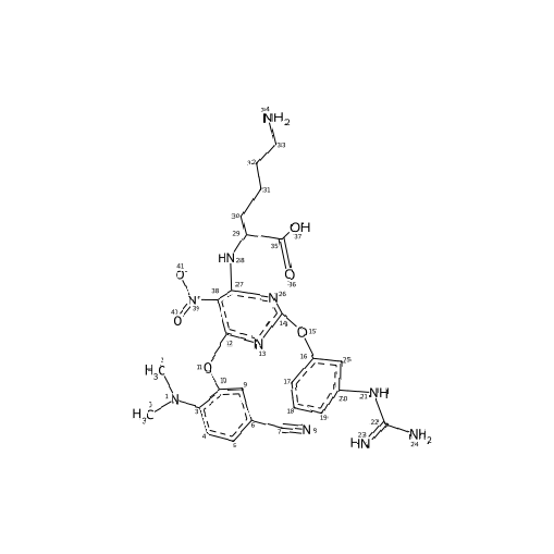 CN(C)c1ccc(C#N)cc1Oc1nc(Oc2cccc(NC(=N)N)c2)nc(NC(CCCCN)C(=O)O)c1[N+](=O)[O-]